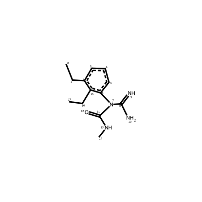 CCc1cccc(N(C(=N)N)C(=O)NC)c1CC